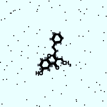 CCc1c(CCc2ccccc2)oc2ccc(O)cc2c1=O